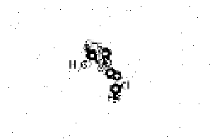 COc1ccc(CN(c2cccc(F)n2)S(=O)(=O)c2ccc3c(c2)CC[C@@H]3c2ccc(C(F)(F)F)cc2Cl)c(OC)c1